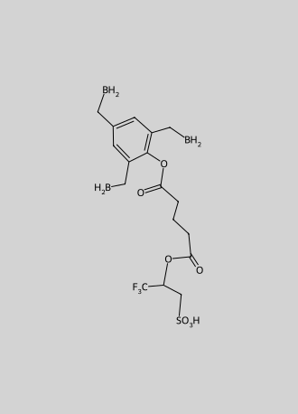 BCc1cc(CB)c(OC(=O)CCCC(=O)OC(CS(=O)(=O)O)C(F)(F)F)c(CB)c1